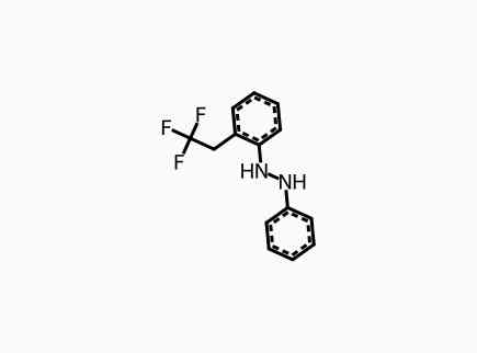 FC(F)(F)Cc1ccccc1NNc1ccccc1